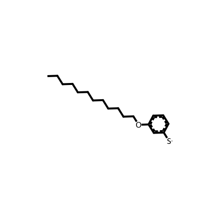 CCCCCCCCCCCCOc1cccc([S])c1